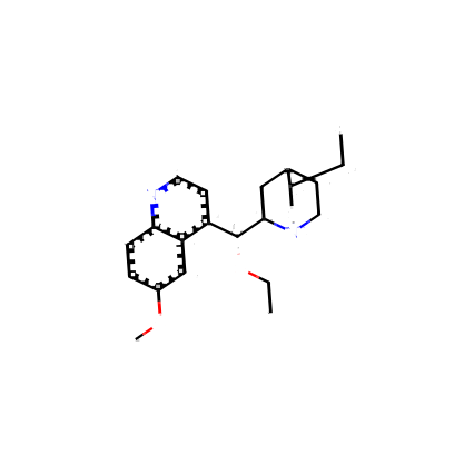 CCO[C@H](c1ccnc2ccc(OC)cc12)C1CC2CCN1CC2CC